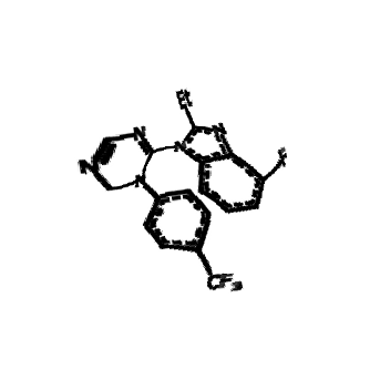 CCc1nc2c(F)cccc2n1C1=NC=NCN1c1ccc(C(F)(F)F)cc1